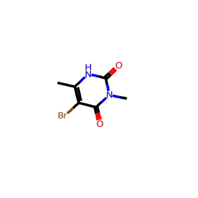 Cc1[nH]c(=O)n(C)c(=O)c1Br